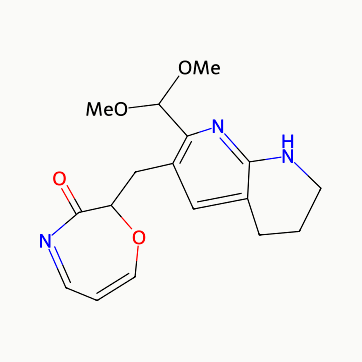 COC(OC)c1nc2c(cc1CC1OC=CC=NC1=O)CCCN2